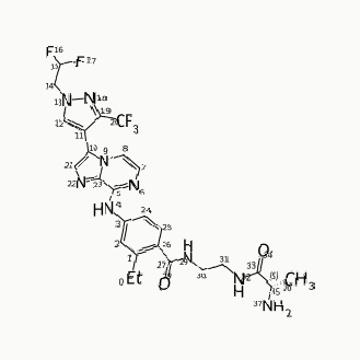 CCc1cc(Nc2nccn3c(-c4cn(CC(F)F)nc4C(F)(F)F)cnc23)ccc1C(=O)NCCNC(=O)[C@H](C)N